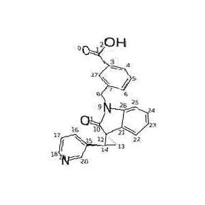 O=C(O)c1cccc(CN2C(=O)[C@@]3(C[C@H]3c3cccnc3)c3ccccc32)c1